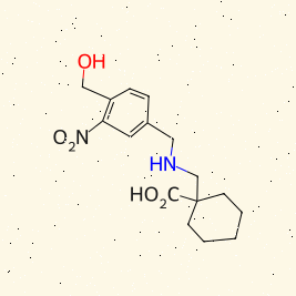 O=C(O)C1(CNCc2ccc(CO)c([N+](=O)[O-])c2)CCCCC1